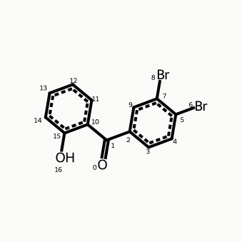 O=C(c1ccc(Br)c(Br)c1)c1ccccc1O